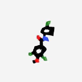 COc1c(Cl)cc(C(=O)Nc2ccc(Cl)cc2)cc1Cl